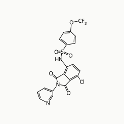 O=C1c2c(Cl)ccc(NS(=O)(=O)c3ccc(OC(F)(F)F)cc3)c2C(=O)N1c1cccnc1